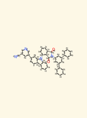 N#Cc1cncc(-c2ccc3c4ccccc4n(-c4cccc5c4C(=O)N(c4cc(-c6ccccc6)cc(-c6ccccc6)c4)C5=O)c3c2)c1